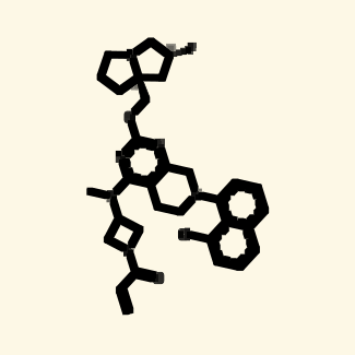 C=CC(=O)N1CC(N(C)c2nc(OC[C@@]34CCCN3C[C@H](F)C4)nc3c2CCN(c2cccc4cccc(Cl)c24)C3)C1